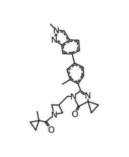 Cc1cc(-c2ccc3cn(C)nc3c2)ccc1C1=NC2(CC2)C(=O)N1CC1CN(C(=O)C2(C)CC2)C1